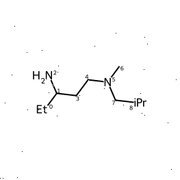 CCC(N)CCN(C)CC(C)C